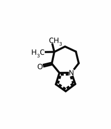 CC1(C)CCCn2cccc2C1=O